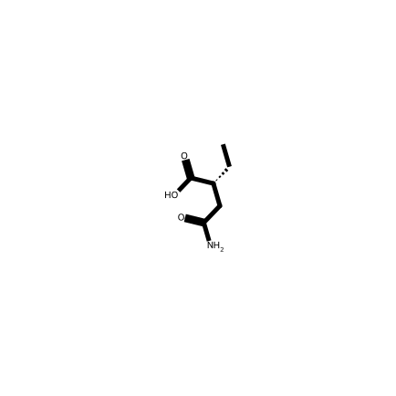 CC[C@H](CC(N)=O)C(=O)O